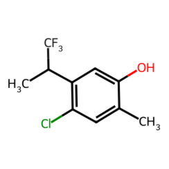 Cc1cc(Cl)c(C(C)C(F)(F)F)cc1O